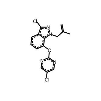 C=C(C)Cn1nc(Cl)c2cccc(Oc3ncc(Cl)cn3)c21